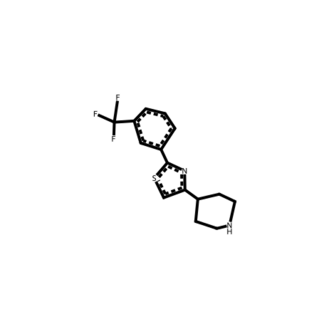 FC(F)(F)c1cccc(-c2nc(C3CCNCC3)cs2)c1